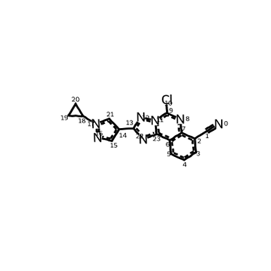 N#Cc1cccc2c1nc(Cl)n1nc(-c3cnn(C4CC4)c3)nc21